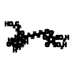 O=C(O)CCCC[C@]1(C(=O)NCCCCCC(=O)ON2C(=O)C(S(=O)(=O)O)C(S(=O)(=O)O)C2=O)SC[C@@H]2NC(=O)N[C@@H]21